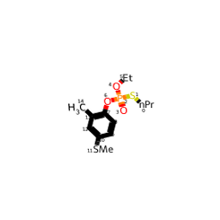 CCCSP(=O)(OCC)Oc1ccc(SC)cc1C